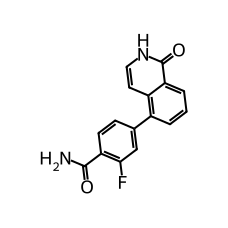 NC(=O)c1ccc(-c2cccc3c(=O)[nH]ccc23)cc1F